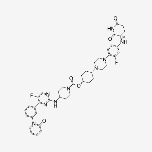 O=C1CC[C@@H](Nc2ccc(N3CCN([C@H]4CC[C@H](OC(=O)N5CCC(Nc6ncc(F)c(-c7cccc(-n8ccccc8=O)c7)n6)CC5)CC4)CC3)c(F)c2)C(=O)N1